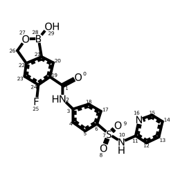 O=C(Nc1ccc(S(=O)(=O)Nc2ccccn2)cc1)c1cc2c(cc1F)COB2O